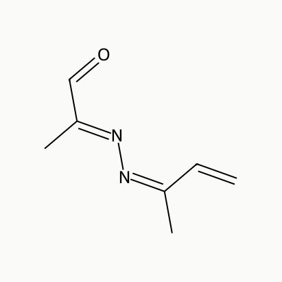 C=C/C(C)=N\N=C(/C)C=O